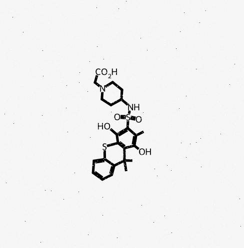 Cc1c(O)c2c(c(O)c1S(=O)(=O)NC1CCN(CC(=O)O)CC1)Sc1ccccc1C2(C)C